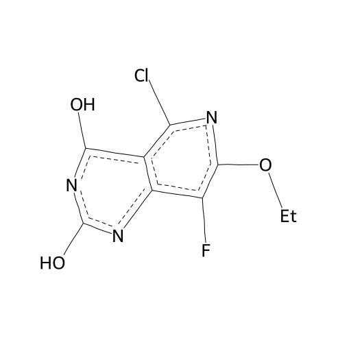 CCOc1nc(Cl)c2c(O)nc(O)nc2c1F